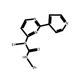 CCN(C(=O)NC(C)C)c1ccnc(-c2ccncc2)n1